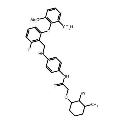 COc1cccc(C(=O)O)c1Oc1cccc(F)c1CNc1ccc(NC(=O)COC2CCCC(C)C2C(C)C)cc1